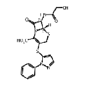 N#CCC(=O)N[C@@H]1C(=O)N2C(C(=O)O)=C(Sc3ccnn3-c3ccccc3)CS[C@@H]12